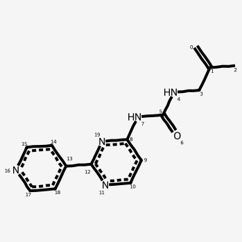 C=C(C)CNC(=O)Nc1ccnc(-c2ccncc2)n1